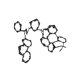 CC1(C)c2cccc3c2-c2c1ccc1ccc4c(c21)c1c-3cccc1n4-c1cccc(N(c2ccccc2)c2ccc3c(ccc4ccccc43)c2)c1